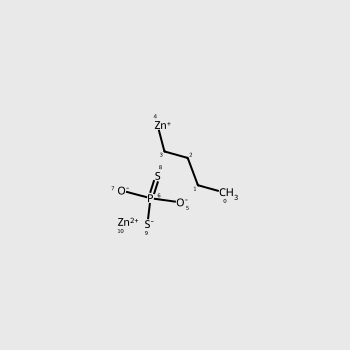 CCC[CH2][Zn+].[O-]P([O-])(=S)[S-].[Zn+2]